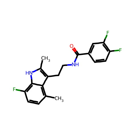 Cc1[nH]c2c(F)ccc(C)c2c1CCNC(=O)c1ccc(F)c(F)c1